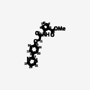 COC(=O)c1cscc1NC(=O)COc1ccc(-c2ncccn2)cc1